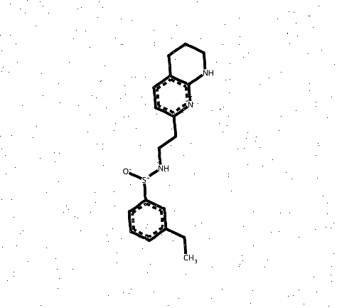 CCc1cccc([S+]([O-])NCCc2ccc3c(n2)NCCC3)c1